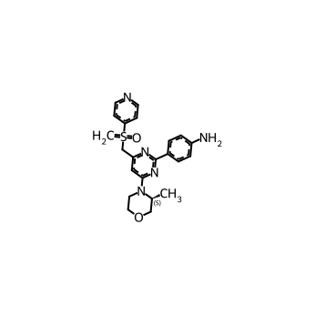 C=S(=O)(Cc1cc(N2CCOC[C@@H]2C)nc(-c2ccc(N)cc2)n1)c1ccncc1